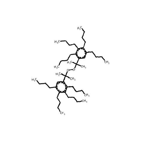 CCCCc1cc(C(C)(C)OOC(C)(C)c2cc(CCCC)c(CCCC)c(CCCC)c2CCCC)c(CCCC)c(CCCC)c1CCCC